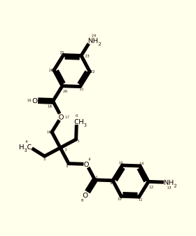 CCC(CC)(COC(=O)c1ccc(N)cc1)COC(=O)c1ccc(N)cc1